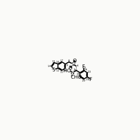 O=CN(O)[C@H](CS(=O)(=O)Cc1ccc2sccc2c1)c1ccc(F)cc1F